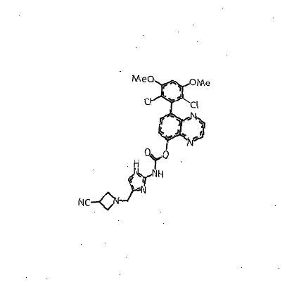 COc1cc(OC)c(Cl)c(-c2ccc(OC(=O)Nc3nc(CN4CC(C#N)C4)c[nH]3)c3nccnc23)c1Cl